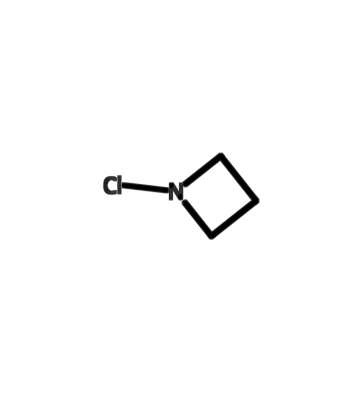 ClN1CCC1